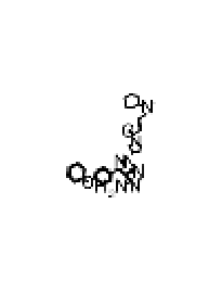 CN(C/C=C/C(=O)N1CCC(n2nc(-c3ccc(Oc4ccccc4)cc3)c3c(N)ncnc32)C1)C1CCCCC1